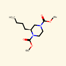 CC(C)(C)OC(=O)N1CCN(C(=O)OC(C)(C)C)[C@@H](CCCC(=O)O)C1